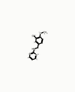 COc1ccc(CNc2ncccn2)cc1Cl